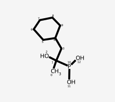 CC(O)(CC1CCCCC1)P(O)O